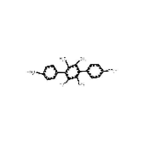 Cc1c(C)c(-c2ccc(C(=O)O)cc2)c(C)c(C)c1-c1ccc(C(=O)O)cc1